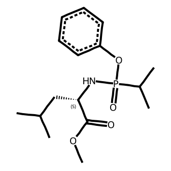 COC(=O)[C@H](CC(C)C)NP(=O)(Oc1ccccc1)C(C)C